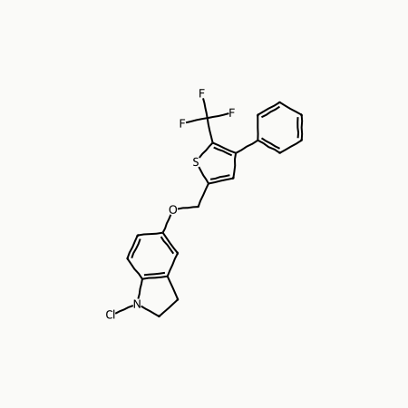 FC(F)(F)c1sc(COc2ccc3c(c2)CCN3Cl)cc1-c1ccccc1